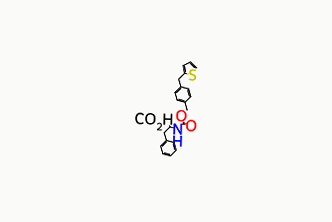 O=C(NC(Cc1ccccc1)C(=O)O)OCc1ccc(Cc2cccs2)cc1